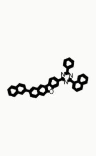 c1ccc(-c2nc(-c3ccc4c(c3)oc3cc5ccc(-c6ccc7ccccc7c6)cc5cc34)nc(-c3cccc4ccccc34)n2)cc1